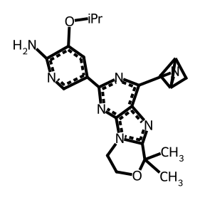 CC(C)Oc1cc(-c2nc(N3CC4CC3C4)c3nc4n(c3n2)CCOC4(C)C)cnc1N